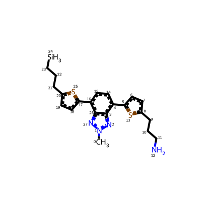 Cn1nc2c(-c3ccc(CCCN)s3)ccc(-c3ccc(CCC[SiH3])s3)c2n1